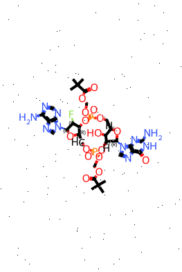 CC(C)(C)C(=O)OCOP1(=O)OC[C@H]2O[C@@H](n3cnc4c(=O)[nH]c(N)nc43)[C@@H](OP(=O)(OCOC(=O)C(C)(C)C)OC[C@H]3O[C@@H](n4cnc5c(N)ncnc54)[C@@H](F)C3O1)C2O